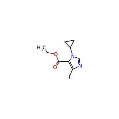 CCOC(=O)c1c(I)ncn1C1CC1